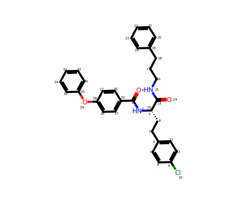 O=C(N[C@@H](CCc1ccc(Cl)cc1)C(=O)NCCCc1ccccc1)c1ccc(Oc2ccccc2)cc1